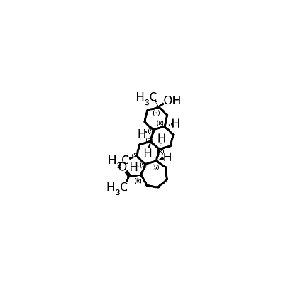 CC(=O)[C@@H]1CCCC[C@H]2[C@@H]3CC[C@@H]4C[C@](C)(O)CC[C@@H]4[C@H]3C[C@H](C)[C@@H]21